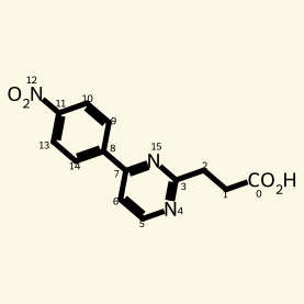 O=C(O)CCc1nccc(-c2ccc([N+](=O)[O-])cc2)n1